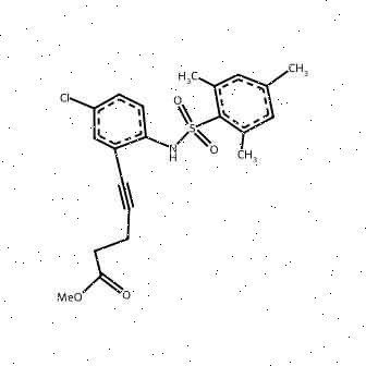 COC(=O)CCC#Cc1cc(Cl)ccc1NS(=O)(=O)c1c(C)cc(C)cc1C